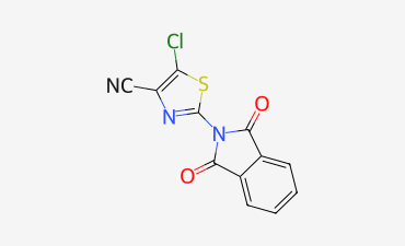 N#Cc1nc(N2C(=O)c3ccccc3C2=O)sc1Cl